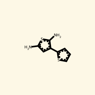 Nc1cc(-c2cccs2)c(N)s1